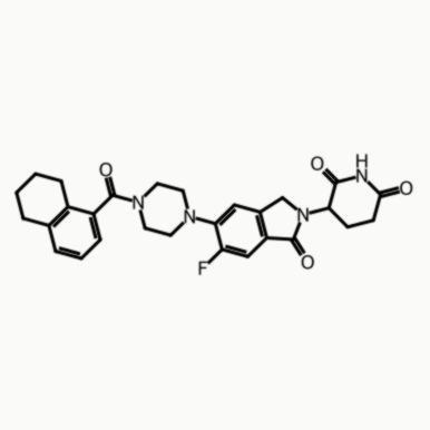 O=C1CCC(N2Cc3cc(N4CCN(C(=O)c5cccc6c5CCCC6)CC4)c(F)cc3C2=O)C(=O)N1